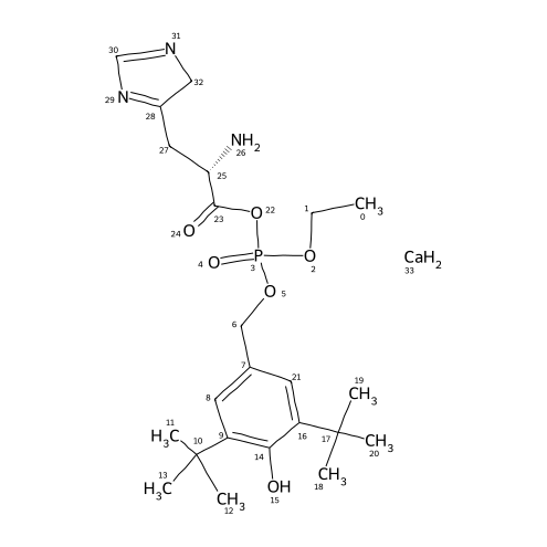 CCOP(=O)(OCc1cc(C(C)(C)C)c(O)c(C(C)(C)C)c1)OC(=O)[C@@H](N)CC1=NC=NC1.[CaH2]